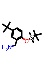 CC(C)(C)c1ccc(O[Si](C)(C)C(C)(C)C)c(CN)c1